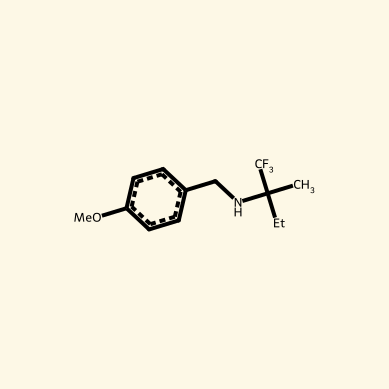 CCC(C)(NCc1ccc(OC)cc1)C(F)(F)F